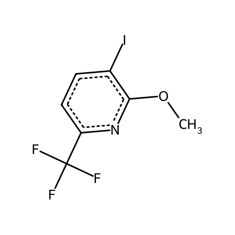 COc1nc(C(F)(F)F)ccc1I